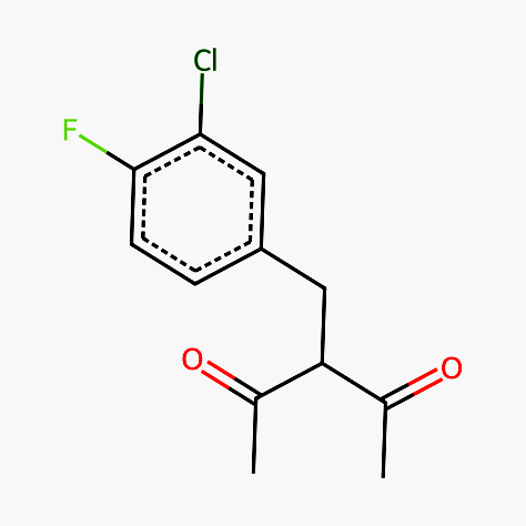 CC(=O)C(Cc1ccc(F)c(Cl)c1)C(C)=O